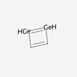 [CH]1=[CH][GeH]=[GeH]1